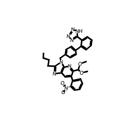 CCCCc1nc2cc(-c3ccccc3[N+](=O)[O-])c(C(OC)OC)nc2n1Cc1ccc(-c2ccccc2-c2nnn[nH]2)cc1